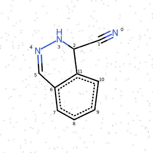 N#CC1NN=Cc2ccccc21